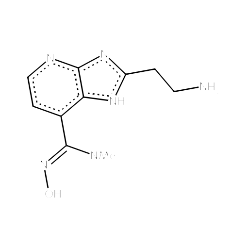 CN/C(=N\O)c1ccnc2nc(CCN)[nH]c12